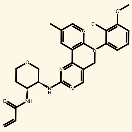 C=CC(=O)N[C@H]1CCOC[C@H]1Nc1ncc2c(n1)-c1cc(C)cnc1N(c1cccc(OC)c1Cl)C2